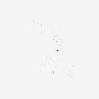 CC1OC(O[C@@H]2C(O[C@H]3CC[C@@]4(C)C(=CCC5C6CC7OC(O)(CC[C@H](C)COC8OC(CO)C(O)[C@@H](O)[C@@H]8O)[C@@H](C)C7[C@@]6(C)CCC54)C3)OC(CO)C(OC3OC(CO)C(O)[C@@H](O)[C@@H]3O)[C@H]2O)[C@@H](O)[C@@H](O)C1O